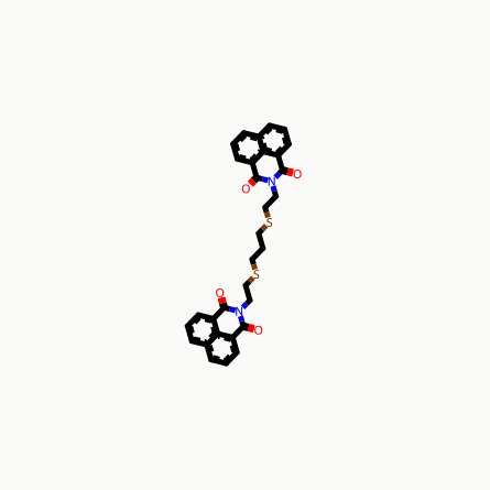 O=C1c2cccc3cccc(c23)C(=O)N1CCSCCCSCCN1C(=O)c2cccc3cccc(c23)C1=O